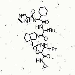 CCCC(NC(=O)[C@@H]1[C@@H]2CCCC2CN1C(=O)C(NC(=O)[C@@H](NC(=O)c1cnccn1)C1CCCCC1)C(C)(C)C)C(=O)C(=O)NC1CC1